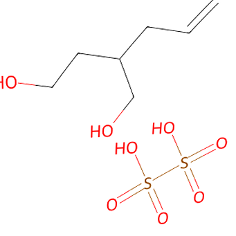 C=CCC(CO)CCO.O=S(=O)(O)S(=O)(=O)O